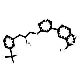 Cc1n[nH]c2ccc(-c3cncc(OC[C@@H](N)Cc4cccc(C(F)(F)F)c4)c3)cc12